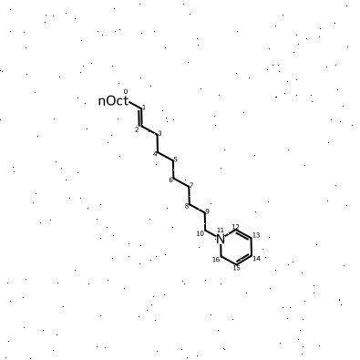 CCCCCCCCC=CCCCCCCCCN1C=CC=CC1